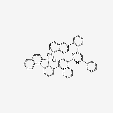 CC1(C)c2ccc3ccccc3c2-c2cccc(-c3ccc(-c4nc(-c5ccccc5)cc(-c5ccccc5-c5ccc6ccccc6c5)n4)c4ccccc34)c21